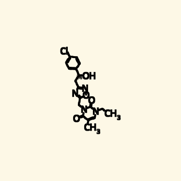 CCn1cc(C)c(=O)n(Cc2nc(C[C@H](O)c3ccc(Cl)cc3)no2)c1=O